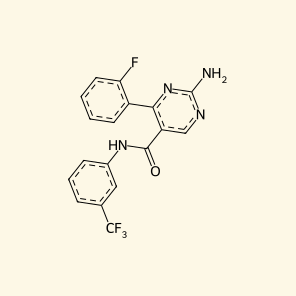 Nc1ncc(C(=O)Nc2cccc(C(F)(F)F)c2)c(-c2ccccc2F)n1